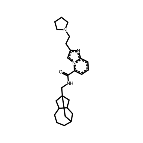 O=C(NCC12CC3CCCC(C1)C(C3)C2)c1cccc2nc(CCN3CCCC3)cn12